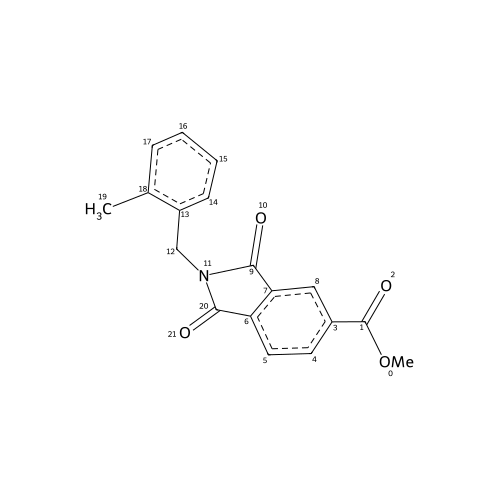 COC(=O)c1ccc2c(c1)C(=O)N(Cc1ccccc1C)C2=O